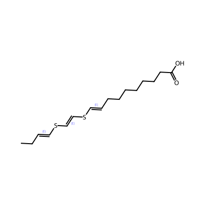 CC/C=C/S/C=C/S/C=C/CCCCCCCC(=O)O